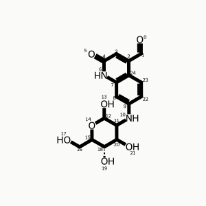 O=Cc1cc(=O)[nH]c2cc(NC3C(O)OC(CO)[C@@H](O)C3O)ccc12